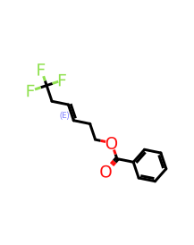 O=C(OCC/C=C/CC(F)(F)F)c1ccccc1